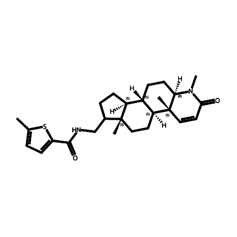 Cc1ccc(C(=O)NCC2CC[C@H]3[C@@H]4CC[C@H]5N(C)C(=O)C=C[C@]5(C)[C@H]4CC[C@]23C)s1